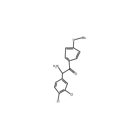 CCC(C)Oc1ccc(C(=O)C(N)c2ccc(Cl)c(Cl)c2)cc1